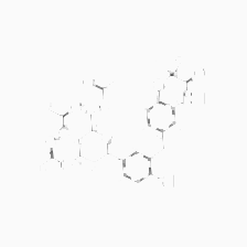 CC(=O)OCC1OC(c2ccc(Cl)c(Cc3ccc4c(c3)NC(=O)C(C)(C)O4)c2)CC(OC(C)=O)[C@@H]1OC(C)=O